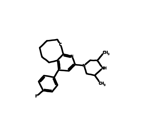 CC1CN(c2cc(-c3ccc(F)cc3)c3c(n2)CCCCCC3)CC(C)N1